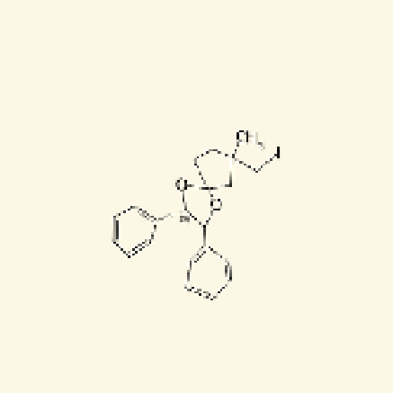 CC1(CI)CCC2(C1)OC(c1ccccc1)[C@H](c1ccccc1)O2